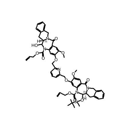 C=CCOC(=O)N1c2cc(OCc3cccc(COc4cc5c(cc4OC)C(=O)N4Cc6ccccc6C[C@H]4C(O[Si](C)(C)C(C)(C)C)N5C(=O)OCC=C)n3)c(OC)cc2C(=O)N2Cc3ccccc3C[C@H]2C1O